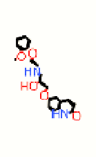 COc1ccccc1OCCNCC(O)COc1ccc2[nH]c(=O)ccc2c1